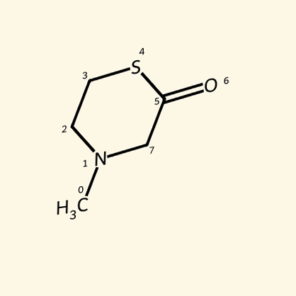 CN1CCSC(=O)C1